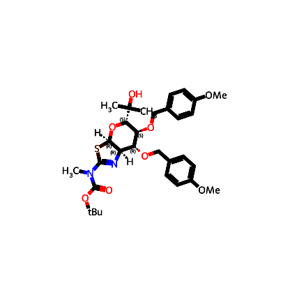 COc1ccc(CO[C@@H]2[C@H]3N=C(N(C)C(=O)OC(C)(C)C)S[C@H]3O[C@H](C(C)(C)O)[C@H]2OCc2ccc(OC)cc2)cc1